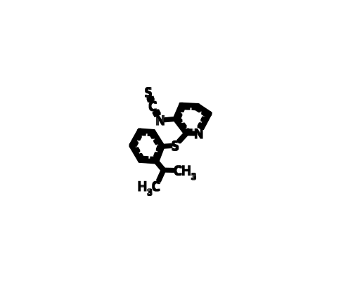 CC(C)c1ccccc1Sc1ncccc1N=C=S